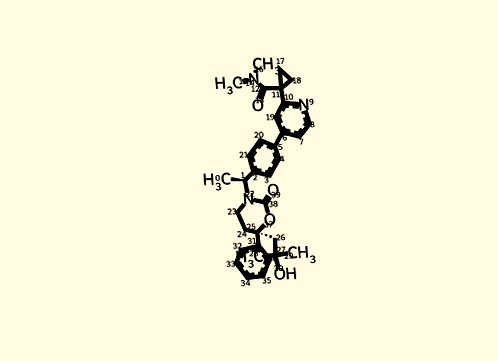 C[C@@H](c1ccc(-c2ccnc(C3(C(=O)N(C)C)CC3)c2)cc1)N1CC[C@](CC(C)(C)O)(c2ccccc2)OC1=O